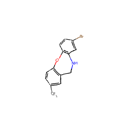 FC(F)(F)c1ccc2c(c1)CNc1cc(Br)ccc1O2